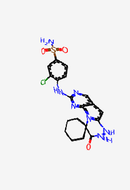 NS(=O)(=O)c1ccc(Nc2ncc3cc4n(c3n2)C2(CCCCC2)C(=O)NN4)c(Cl)c1